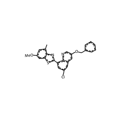 COc1cc(C)c2nc(-c3cc(Cl)cc4cc(OCc5ccccc5)cnc34)sc2c1